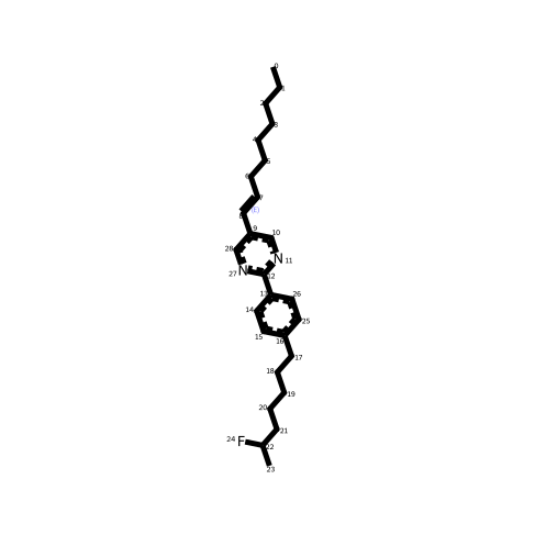 CCCCCCC/C=C/c1cnc(-c2ccc(CCCCCC(C)F)cc2)nc1